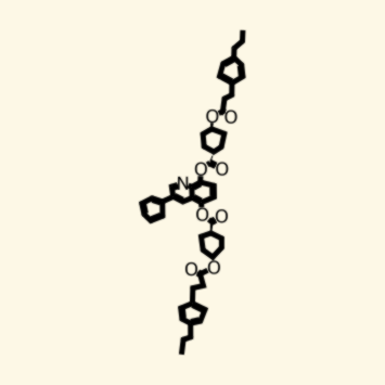 CCCc1ccc(CCC(=O)O[C@H]2CC[C@H](C(=O)Oc3ccc(OC(=O)[C@H]4CC[C@H](OC(=O)CCc5ccc(CCC)cc5)CC4)c4ncc(-c5ccccc5)cc34)CC2)cc1